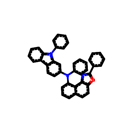 c1ccc(-c2nc3c(ccc4cccc(N(c5ccccc5)c5ccc6c7ccccc7n(-c7ccccc7)c6c5)c43)o2)cc1